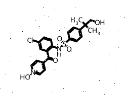 CC(C)(CO)c1ccc(S(=O)(=O)Nc2ccc(Cl)cc2C(=O)c2cc[n+](O)cc2)cc1